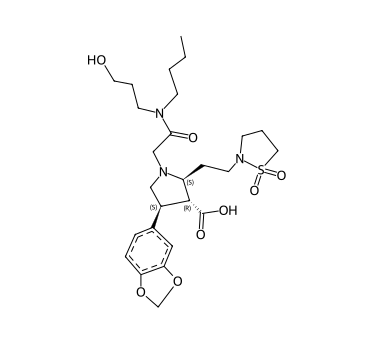 CCCCN(CCCO)C(=O)CN1C[C@H](c2ccc3c(c2)OCO3)[C@@H](C(=O)O)[C@@H]1CCN1CCCS1(=O)=O